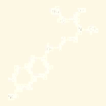 CN(CCCOc1ccc2cc(C#N)ccc2c1)C(=O)OC(C)(C)C